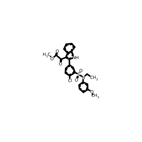 CCN(c1cccc(OC)c1)S(=O)(=O)c1cc(-c2[nH]c3ccccc3c2C(=O)C(=O)OC)ccc1Cl